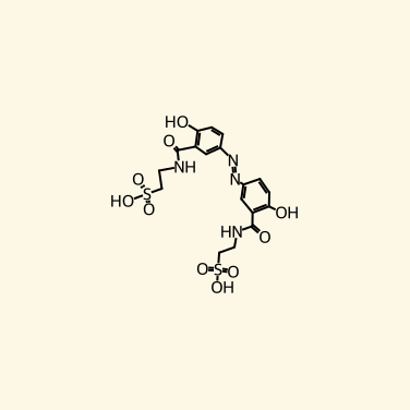 O=C(NCCS(=O)(=O)O)c1cc(/N=N/c2ccc(O)c(C(=O)NCCS(=O)(=O)O)c2)ccc1O